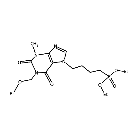 CCOCn1c(=O)c2c(ncn2CCCCP(=O)(OCC)OCC)n(C)c1=O